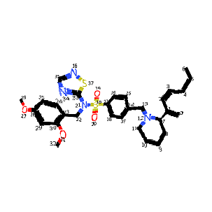 C=C(/C=C\C=C/C)[C@H]1CCCCN1Cc1ccc(S(=O)(=O)N(Cc2ccc(OC)cc2OC)c2ncns2)cc1